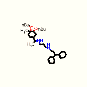 CCCCOC1CC(C(C)NCCCNCCC(C2=CCCCC2)C2CC=CCC2)=CCC1(C)OCCCC